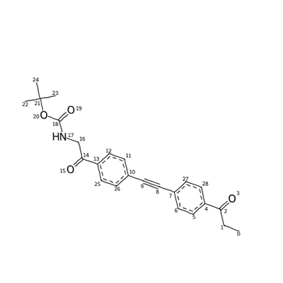 CCC(=O)c1ccc(C#Cc2ccc(C(=O)CNC(=O)OC(C)(C)C)cc2)cc1